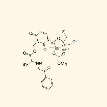 COC1O[C@@H]2[C@](CO)(CF)O[C@@H](n3ccc(=O)n(COC(=O)C(NCC(=O)c4ccccc4)C(C)C)c3=O)[C@]2(C)O1